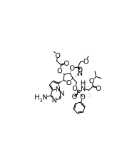 COCC(=O)O[C@H]1[C@H](c2ccc3c(N)ncnn23)O[C@](C#N)(COP(=O)(N[C@@H](C)C(=O)OC(C)C)Oc2ccccc2)[C@H]1OC(=O)COC